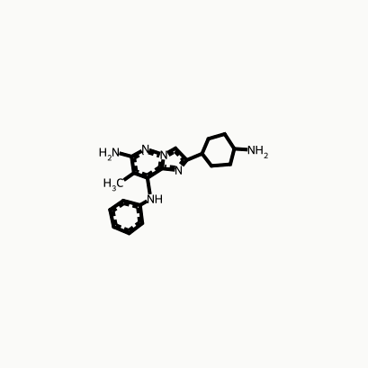 Cc1c(N)nn2cc(C3CCC(N)CC3)nc2c1Nc1ccccc1